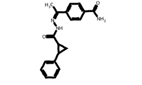 CC(=NNC(=O)C1CC1c1ccccc1)c1ccc(C(N)=O)cc1